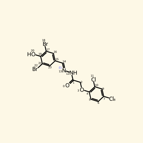 O=C(COc1ccc(Cl)cc1Cl)N/N=C/c1cc(Br)c(O)c(Br)c1